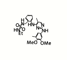 CCNS(=O)(=O)NCc1ccccc1Nc1nc(Nc2cc(C)c(OC)c(OC)c2)ncc1C